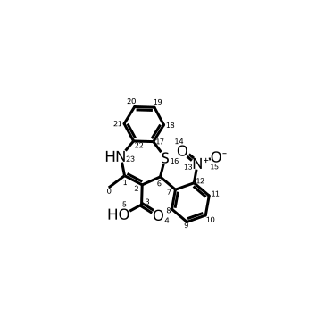 CC1=C(C(=O)O)C(c2ccccc2[N+](=O)[O-])Sc2ccccc2N1